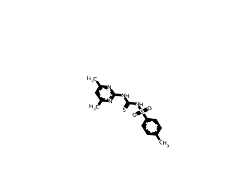 Cc1ccc(S(=O)(=O)NC(=S)Nc2nc(C)cc(C)n2)cc1